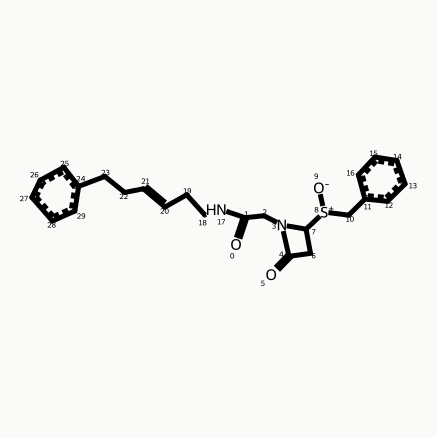 O=C(CN1C(=O)CC1[S+]([O-])Cc1ccccc1)NCC/C=C/CCc1ccccc1